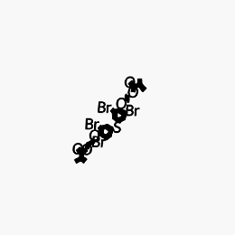 C=C(C)C(=O)OCCOc1c(Br)cc(Sc2cc(Br)c(OCCOC(=O)C(=C)C)c(Br)c2)cc1Br